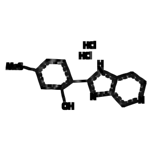 CSc1ccc(-c2nc3cnccc3[nH]2)c(O)c1.Cl.Cl